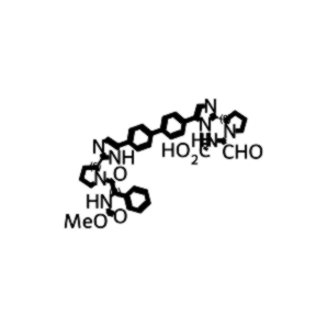 COC(=O)N[C@@H](C(=O)N1CCC[C@H]1c1ncc(-c2ccc(-c3ccc(-c4cnc([C@@H]5CCCN5C(C=O)NC(=O)O)[nH]4)cc3)cc2)[nH]1)c1ccccc1